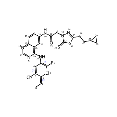 C\C=C(Cl)/C(Cl)=C\C(=C\F)Nc1ncnc2ccc(NC(=O)Cn3nc(SCC4CC4)sc3=S)cc12